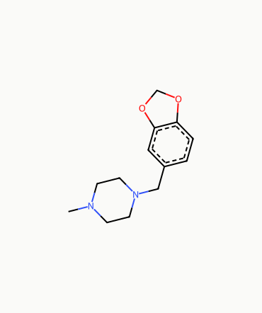 CN1CCN(Cc2ccc3c(c2)OCO3)CC1